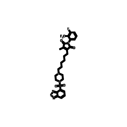 CC1=C(CCCCCCN2CCN(S(=O)(=O)c3cccc4nsnc34)CC2)C(=O)N(c2cccc(F)c2C(F)(F)F)C1=O